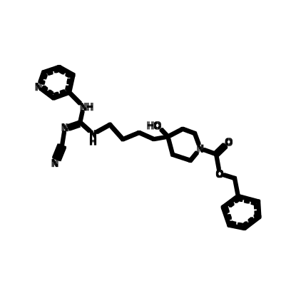 N#C/N=C(\NCCCCC1(O)CCN(C(=O)OCc2ccccc2)CC1)Nc1cccnc1